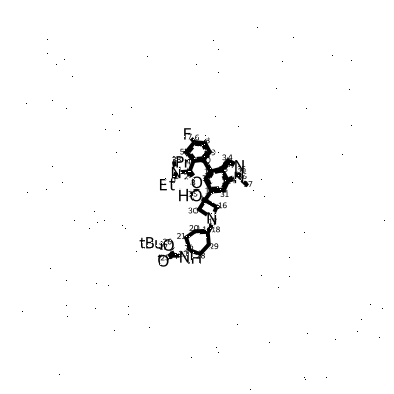 CCN(C(=O)c1cc(F)ccc1-c1cc(C2(O)CN(CC3CCC(NC(=O)OC(C)(C)C)CC3)C2)cc2c1cnn2C)C(C)C